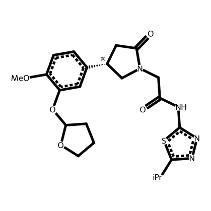 COc1ccc([C@@H]2CC(=O)N(CC(=O)Nc3nnc(C(C)C)s3)C2)cc1OC1CCCO1